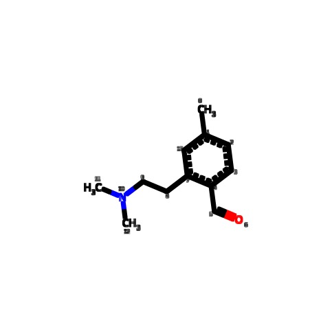 Cc1ccc(C=O)c(CCN(C)C)c1